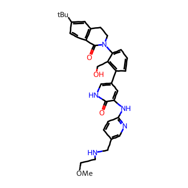 COCCNCc1ccc(Nc2cc(-c3cccc(N4CCc5cc(C(C)(C)C)ccc5C4=O)c3CO)c[nH]c2=O)nc1